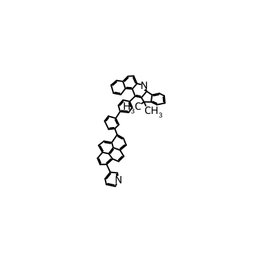 CC1(C)c2ccccc2-c2nc3ccc4ccccc4c3c(-c3ccc(-c4cccc(-c5ccc6ccc7c(-c8cccnc8)ccc8ccc5c6c87)c4)cc3)c21